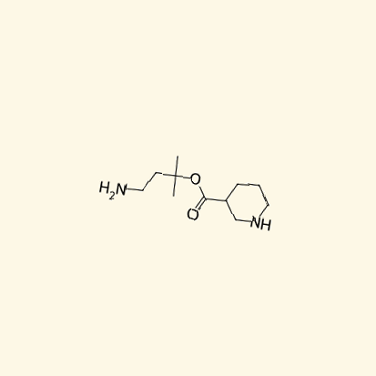 CC(C)(CCN)OC(=O)C1CCCNC1